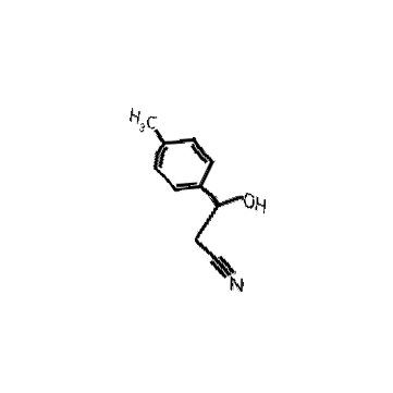 Cc1ccc(C(O)CC#N)cc1